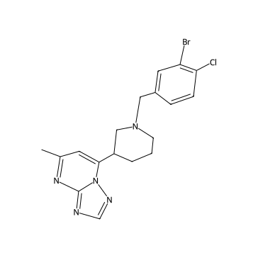 Cc1cc(C2CCCN(Cc3ccc(Cl)c(Br)c3)C2)n2ncnc2n1